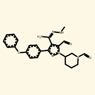 CN/N=C(/N)c1c(-c2ccc(Oc3ccccc3)cc2)nn(C2CCCN(C=O)C2)c1C=O